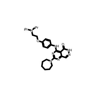 CC(C)N(CCOc1ccc(Nc2nc(N3CCCCCC3)nc3cn[nH]c(=O)c23)cc1)C(C)C